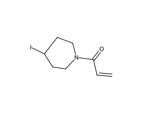 C=CC(=O)N1CCC(I)CC1